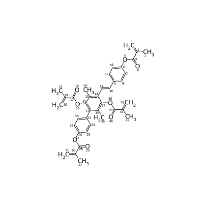 C=C(C)C(=O)Oc1ccc(/C=C/c2c(C)c(OC(=O)C(=C)C)c(-c3ccc(OC(=O)C(=C)C)cc3)c(C)c2OC(=O)C(=C)C)cc1